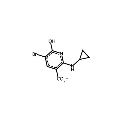 O=C(O)c1cc(Br)c(O)nc1NC1CC1